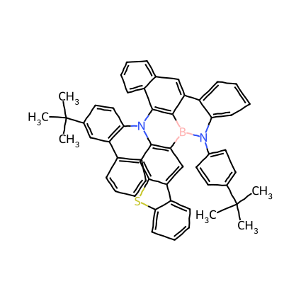 CC(C)(C)c1ccc(N2B3c4cc5c(cc4N(c4ccc(C(C)(C)C)cc4-c4ccccc4)c4c3c(cc3ccccc43)-c3ccccc32)sc2ccccc25)cc1